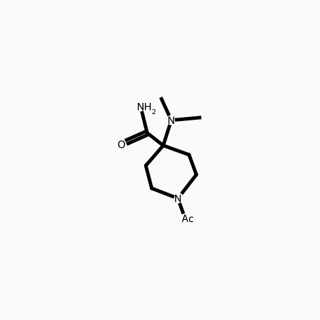 CC(=O)N1CCC(C(N)=O)(N(C)C)CC1